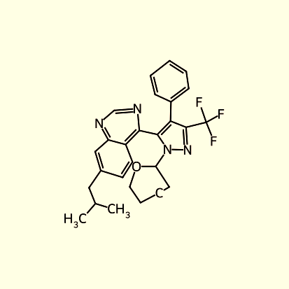 CC(C)Cc1ccc2c(-c3c(-c4ccccc4)c(C(F)(F)F)nn3C3CCCCO3)ncnc2c1